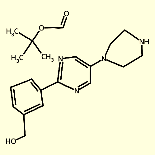 CC(C)(C)OC=O.OCc1cccc(-c2ncc(N3CCNCC3)cn2)c1